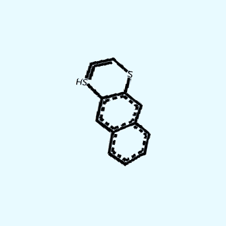 C1=CSc2cc3ccccc3cc2[SH]=1